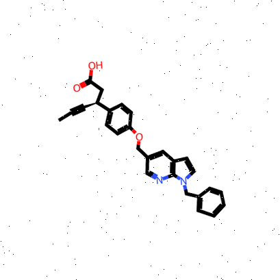 CC#C[C@@H](CC(=O)O)c1ccc(OCc2cnc3c(ccn3Cc3ccccc3)c2)cc1